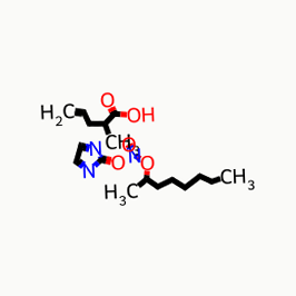 C=CCC(C)C(=O)O.CCCCCCC(C)ON=O.O=C1N=CC=N1